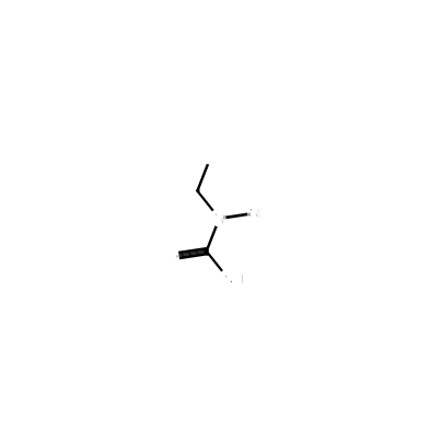 NC(=O)N(N)CI